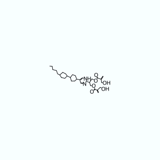 C=C(CO)C(=O)OCC(COC(=O)C(=C)CO)C1N=CC(C2CCC(C3CCC(CCCCC)CC3)CC2)=CN1